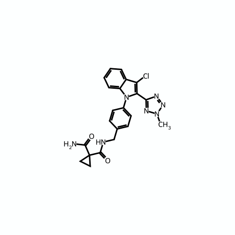 Cn1nnc(-c2c(Cl)c3ccccc3n2-c2ccc(CNC(=O)C3(C(N)=O)CC3)cc2)n1